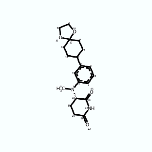 CN(c1cccc(C2CCC3(CC2)OCCO3)c1)[C@H]1CCC(=O)NC1=O